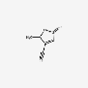 C#CC1=CS(=O)OC1C